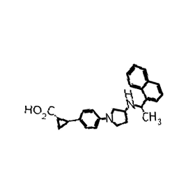 C[C@@H](N[C@H]1CCN(c2ccc([C@H]3C[C@@H]3C(=O)O)cc2)C1)c1cccc2ccccc12